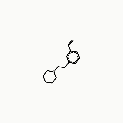 C=Cc1cccc(CCN2CCCCC2)c1